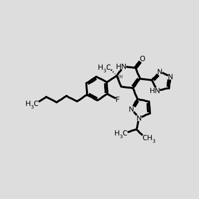 CCCCCc1ccc([C@]2(C)CC(c3ccn(C(C)C)n3)=C(c3nnc[nH]3)C(=O)N2)c(F)c1